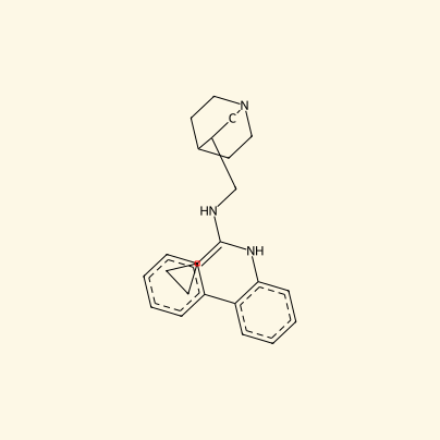 c1ccc(-c2ccccc2NC(NCC2CN3CCC2CC3)=C2CC2)cc1